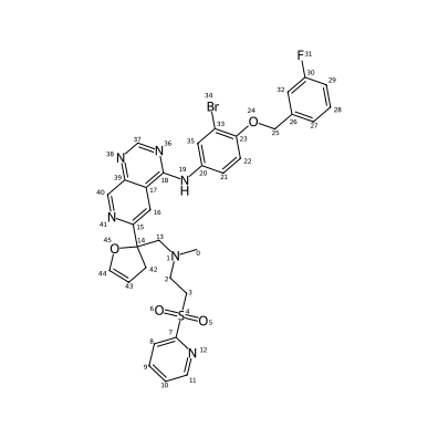 CN(CCS(=O)(=O)c1ccccn1)CC1(c2cc3c(Nc4ccc(OCc5cccc(F)c5)c(Br)c4)ncnc3cn2)CC=CO1